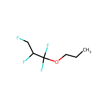 CCCOC(F)(F)C(F)CF